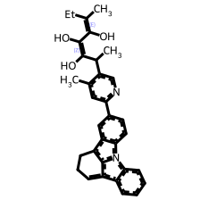 CC/C(C)=C(O)\C(O)=C(\O)C(C)c1cnc(-c2ccc3c(c2)c2c4c(c5ccccc5n43)=CCC2)cc1C